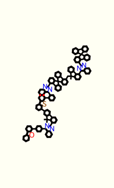 CC1(C)c2cc(-c3cccc4c3sc3c(-c5ccccc5-c5nc(-c6cccc7c6-c6ccccc6C76c7ccccc7-c7c(CC8(C)c9ccccc9-c9c(-c%10nc(-c%11cccc%12c%11-c%11ccccc%11C%12%11c%12ccccc%12-c%12ccccc%12%11)nc%11ccccc%10%11)cccc98)cccc76)nc6ccccc56)cccc34)ccc2-c2cccc(-c3nc(-c4ccc(-c5cccc6c5oc5ccccc56)cc4)c4ccccc4n3)c21